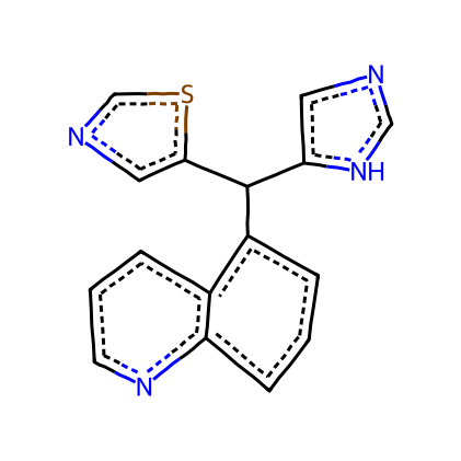 c1cc(C(c2cnc[nH]2)c2cncs2)c2cccnc2c1